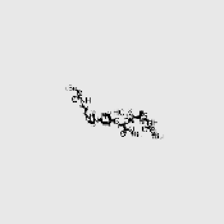 CC(C)(C)OC(=O)NCCC[n+]1ccn(-c2ccc(OCC(O/N=C(\C(=O)O)c3csc(NC(=O)OC(C)(C)C)n3)C(=O)OC(C)(C)C)cn2)c1